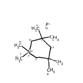 CC1(C)CC(C)(C)C[N+](C)(C)C1.[F-]